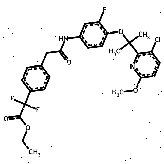 CCOC(=O)C(F)(F)c1ccc(CC(=O)Nc2ccc(OC(C)(C)c3nc(OC)ccc3Cl)c(F)c2)cc1